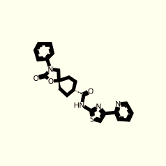 O=C1O[C@]2(CC[C@@H](C(=O)Nc3nc(-c4ccccn4)cs3)CC2)CN1c1ccccc1